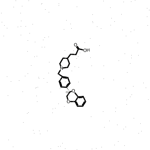 O=C(O)CCC1CCN(Cc2ccc([C@H]3COc4ccccc4O3)cc2)CC1